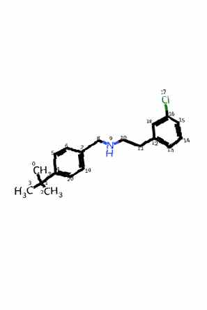 CC(C)(C)c1ccc(CNCCc2cccc(Cl)c2)cc1